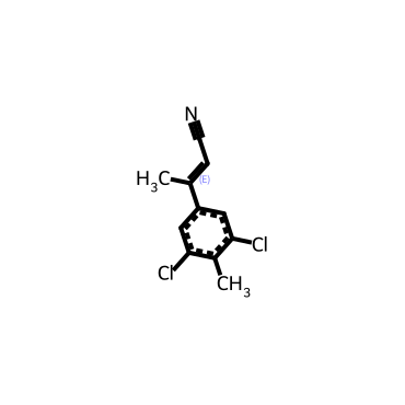 C/C(=C\C#N)c1cc(Cl)c(C)c(Cl)c1